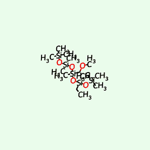 CC[Si](C)(O[Si](C)(C)C)O[Si](C)(COC)O[Si](C)(C)O[Si](C)(C)C